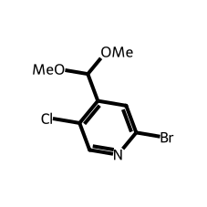 COC(OC)c1cc(Br)ncc1Cl